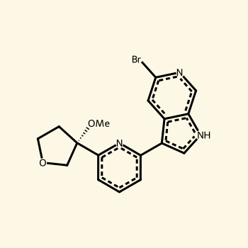 CO[C@@]1(c2cccc(-c3c[nH]c4cnc(Br)cc34)n2)CCOC1